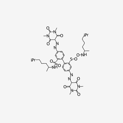 CC(C)CCCC(C)NOOSc1cc(N=NC2C(=O)N(C)C(=O)N(C)C2=O)ccc1-c1ccc(N=NC2C(=O)N(C)C(=O)N(C)C2=O)cc1S(=O)(=O)NC(C)CCCC(C)C